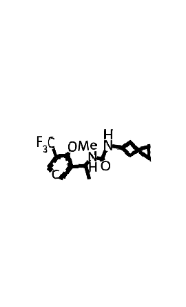 COc1c(C(C)NC(=O)NC2CC3(CC3)C2)cccc1C(F)(F)F